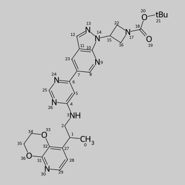 CC(CNc1cc(-c2cnc3c(cnn3C3CN(C(=O)OC(C)(C)C)C3)c2)ncn1)c1ccnc2c1OCCO2